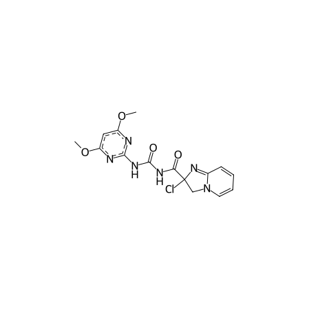 COc1cc(OC)nc(NC(=O)NC(=O)C2(Cl)CN3C=CC=CC3=N2)n1